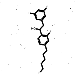 OC(Cc1cc(F)cc(F)c1)c1ccc(CCCCCF)cc1F